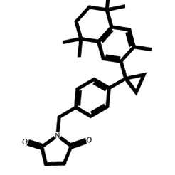 Cc1cc2c(cc1C1(c3ccc(CN4C(=O)CCC4=O)cc3)CC1)C(C)(C)CCC2(C)C